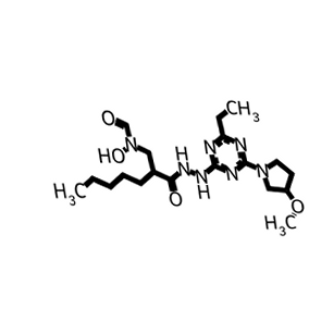 CCCCCC(CN(O)C=O)C(=O)NNc1nc(CC)nc(N2CCC(OC)C2)n1